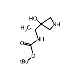 C[C@@H](NC(=O)OC(C)(C)C)C1(O)CNC1